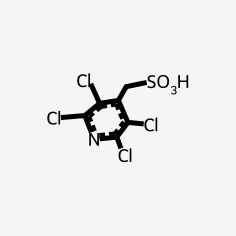 O=S(=O)(O)Cc1c(Cl)c(Cl)nc(Cl)c1Cl